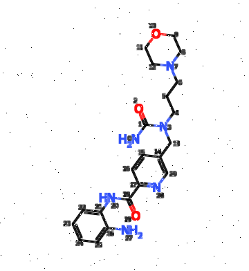 NC(=O)N(CCCN1CCOCC1)Cc1ccc(C(=O)Nc2ccccc2N)nc1